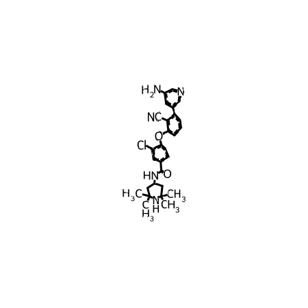 CC1(C)CC(NC(=O)c2ccc(Oc3cccc(-c4cncc(N)c4)c3C#N)c(Cl)c2)CC(C)(C)N1